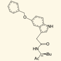 CCC(C)[C@H](NC(=O)Cc1c[nH]c2ccc(OCc3ccccc3)cc12)C(C)=O